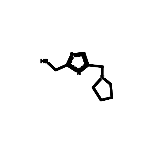 OCc1nc(CN2CCCC2)cs1